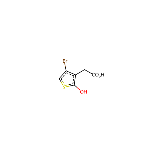 O=C(O)Cc1c(Br)csc1O